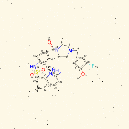 COc1ccc(CN2CCN(C(=O)c3ccc(NS(=O)(=O)c4cccc5cccnc45)c(CN)c3)CC2)cc1F